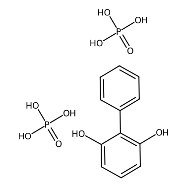 O=P(O)(O)O.O=P(O)(O)O.Oc1cccc(O)c1-c1ccccc1